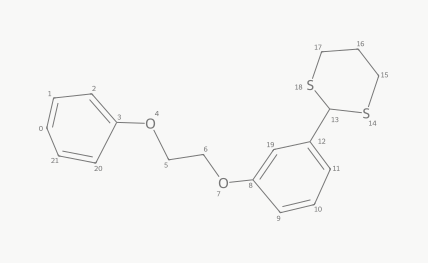 c1ccc(OCCOc2cccc(C3SCCCS3)c2)cc1